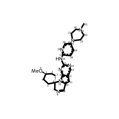 CO[C@H]1CC[C@@]2(CC1)CN=Cc1cc3cnc(Nc4ccc(N5CCN(C)CC5)cn4)nc3n12